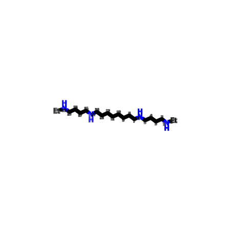 CCNCCCCNCCCCCCCCNCCCCNCC